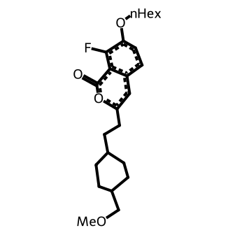 CCCCCCOc1ccc2cc(CCC3CCC(COC)CC3)oc(=O)c2c1F